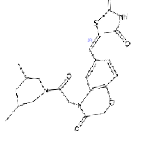 CC1CC(C)CN(C(=O)CN2C(=O)COc3ccc(/C=C4/SC(=S)NC4=O)cc32)C1